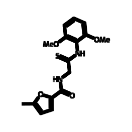 COc1cccc(OC)c1NC(=S)CNC(=O)c1ccc(C)o1